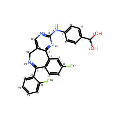 OC(O)c1ccc(Nc2ncc3c(n2)-c2cc(F)ccc2C(c2ccccc2F)=NC3)cc1